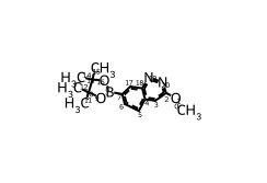 COc1cc2ccc(B3OC(C)(C)C(C)(C)O3)cc2nn1